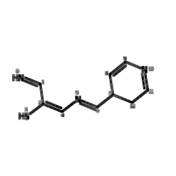 N=C/C(S)=C\N=C\C1C=CN=CC1